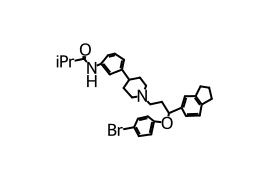 CC(C)C(=O)Nc1cccc(C2CCN(CCC(Oc3ccc(Br)cc3)c3ccc4c(c3)CCC4)CC2)c1